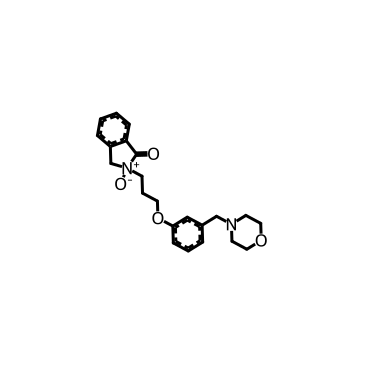 O=C1c2ccccc2C[N+]1([O-])CCCOc1cccc(CN2CCOCC2)c1